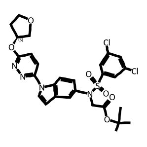 CC(C)(C)OC(=O)CN(c1ccc2c(ccn2-c2ccc(O[C@H]3CCOC3)nn2)c1)S(=O)(=O)c1cc(Cl)cc(Cl)c1